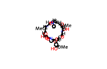 CO[C@H]1C[C@@H]2CC[C@@H](C)[C@@](O)(O2)C(=O)C(=O)N2CCCC[C@H]2C(=O)O[C@H]([C@H](C)C[C@@H]2CC[C@@H](O)[C@H](OC)C2)CC(=O)[C@H](C)/C=C(\C)[C@@H](O)[C@@H](OC)C(=O)[C@H](C)C[C@H](C)[C@@H]2CC[C@H](/C=C/1C)ON2c1ccccc1